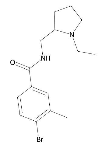 CCN1CCCC1CNC(=O)c1ccc(Br)c(C)c1